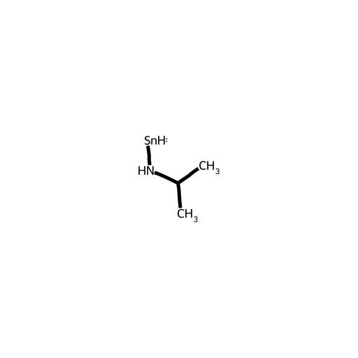 CC(C)[NH][SnH]